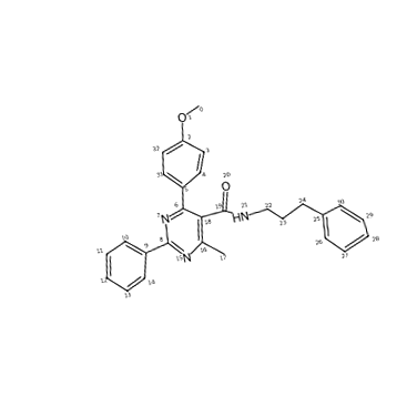 COc1ccc(-c2nc(-c3ccccc3)nc(C)c2C(=O)NCCCc2ccccc2)cc1